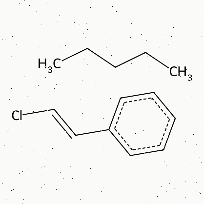 CCCCC.ClC=Cc1ccccc1